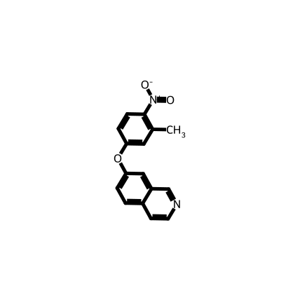 Cc1cc(Oc2ccc3ccncc3c2)ccc1[N+](=O)[O-]